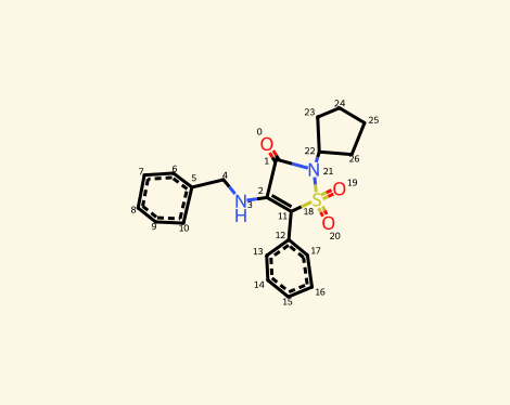 O=C1C(NCc2ccccc2)=C(c2ccccc2)S(=O)(=O)N1C1CCCC1